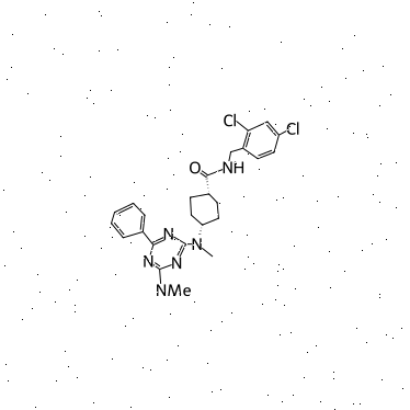 CNc1nc(-c2ccccc2)nc(N(C)[C@H]2CC[C@@H](C(=O)NCc3ccc(Cl)cc3Cl)CC2)n1